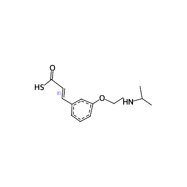 CC(C)NCCOc1cccc(/C=C/C(=O)S)c1